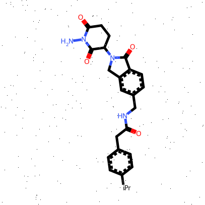 CC(C)c1ccc(CC(=O)NCc2ccc3c(c2)CN(C2CCC(=O)N(N)C2=O)C3=O)cc1